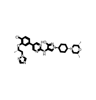 C[C@@H]1CN([C@H]2CC[C@H](n3cc(Nc4ncc(-c5ccc(Cl)c(O[C@@H](C)Cn6cncn6)c5)cn4)c(O)n3)CC2)C[C@H](C)O1